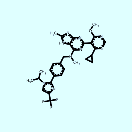 COc1ncnc(C2CC2)c1-c1nc(N(C)Cc2ccc(-c3nc(C(F)(F)F)cn3C(C)C)cc2)c2[nH]c(C)nc2n1